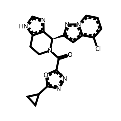 O=C(c1nnc(C2CC2)o1)N1CCc2[nH]cnc2[C@H]1c1cc2c(Cl)cccn2n1